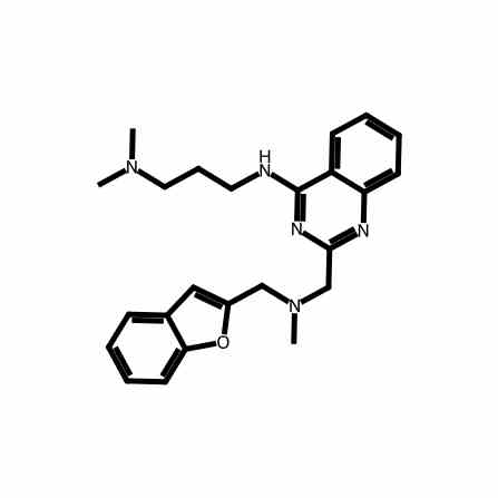 CN(C)CCCNc1nc(CN(C)Cc2cc3ccccc3o2)nc2ccccc12